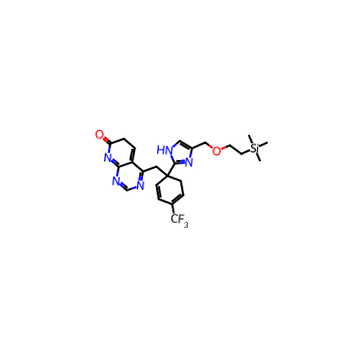 C[Si](C)(C)CCOCc1c[nH]c(C2(Cc3ncnc4c3=CCC(=O)N=4)C=CC(C(F)(F)F)=CC2)n1